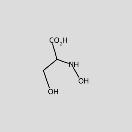 O=C(O)C(CO)NO